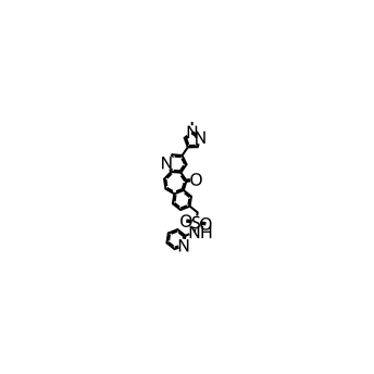 Cn1cc(-c2cnc3ccc4ccc(CS(=O)(=O)Nc5ccccn5)cc4c(=O)c3c2)cn1